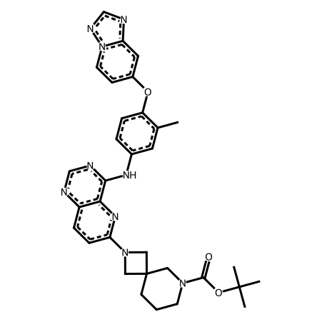 Cc1cc(Nc2ncnc3ccc(N4CC5(CCCN(C(=O)OC(C)(C)C)C5)C4)nc23)ccc1Oc1ccn2ncnc2c1